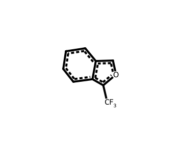 FC(F)(F)c1occ2ccccc12